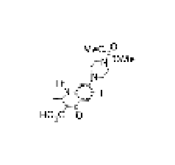 CCn1c(C)c(C(=O)O)c(=O)c2cc(F)c(N3CCN(P(=O)(OC)OC)CC3)cc21